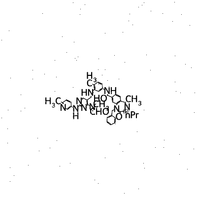 CCC[C@@H]1N=C(C)c2ccc(C(O)Nc3ccc(C)c(NCc4cnc(Nc5ccc(C)nc5)nc4N(C)C=O)c3)cc2N(Cc2ccccc2)C1=O